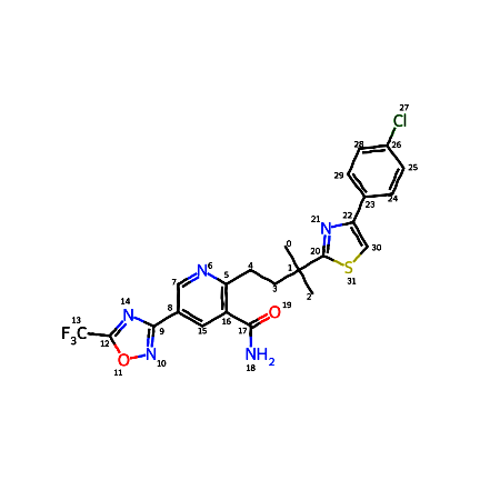 CC(C)(CCc1ncc(-c2noc(C(F)(F)F)n2)cc1C(N)=O)c1nc(-c2ccc(Cl)cc2)cs1